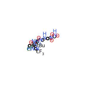 CC(C)(C)C[C@@H]1N(C23CCC(C(=O)N4CCC[C@H](Nc5ccc6c(c5)CN(C5CCC(=O)NC5=O)C6=O)C4)(CC2)CC3)[C@@H](C(N)=O)[C@H](c2cccc(Cl)c2F)[C@]12CNc1cc(C(F)(F)F)ncc12